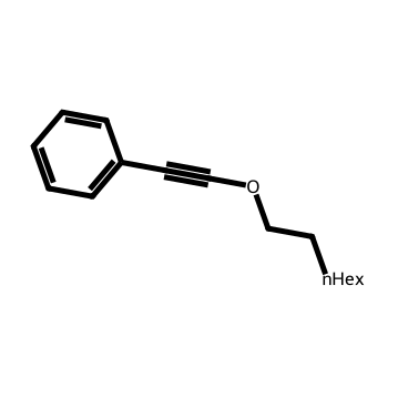 CCCCCCCCOC#Cc1ccccc1